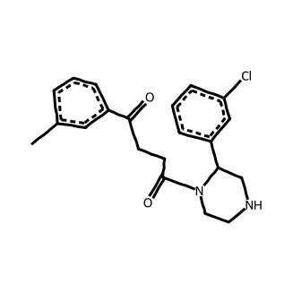 Cc1cccc(C(=O)CCC(=O)N2CCNCC2c2cccc(Cl)c2)c1